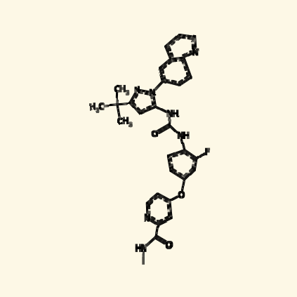 CC(C)(C)c1cc(NC(=O)Nc2ccc(Oc3ccnc(C(=O)NI)c3)cc2F)n(-c2ccc3ncccc3c2)n1